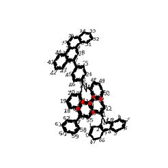 C1=Cc2c(c3ccccc3n2-c2cccc(-c3ccccc3N(c3ccc(-c4cc5c6ccccc6ccc5c5ccccc45)cc3)c3ccccc3-c3ccc(-c4ccccc4)cc3)c2)CC1